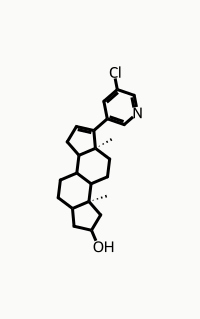 C[C@]12CC(O)CC1CCC1C2CC[C@]2(C)C(c3cncc(Cl)c3)=CCC12